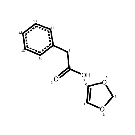 C1=COCO1.O=C(O)Cc1ccccc1